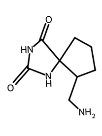 NCC1CCCC12NC(=O)NC2=O